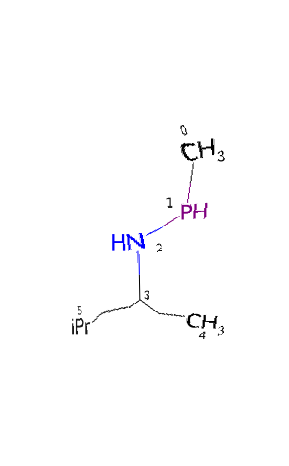 CPNC(C)C(C)C